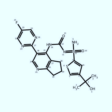 CC(C)(O)c1csc(S(N)(=O)=NC(=O)Nc2c(-c3ncc(F)cn3)cnc3c2CCC3)c1